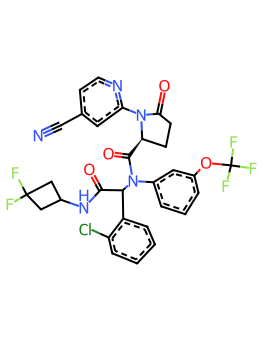 N#Cc1ccnc(N2C(=O)CC[C@H]2C(=O)N(c2cccc(OC(F)(F)F)c2)C(C(=O)NC2CC(F)(F)C2)c2ccccc2Cl)c1